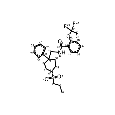 CCCS(=O)(=O)N1CCC(CNC(=O)c2ccccc2OC(F)(F)F)(c2ccccc2)CC1